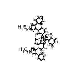 CCn1cc(-c2ccncc2)c(-c2c(F)ccc(NN(c3ccc(F)c(-c4nn(CC)cc4-c4ccncc4)c3F)S(=O)(=O)c3cc(F)ccc3F)c2F)n1